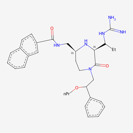 CCCOC(CN1CC[C@@H](CNC(=O)c2ccc3ccccc3c2)N[C@@H](C(CC)NC(=N)N)C1=O)c1ccccc1